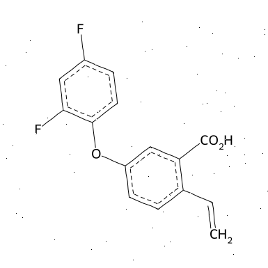 C=Cc1ccc(Oc2ccc(F)cc2F)cc1C(=O)O